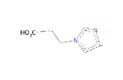 O=C(O)CCn1c[c]nc1